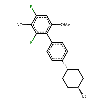 CC[C@H]1CC[C@H](c2ccc(-c3c(OC)cc(F)c(C#N)c3F)cc2)CC1